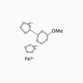 COc1cccc(-c2ccc[cH-]2)c1.[Fe+2].c1cc[cH-]c1